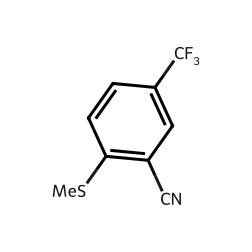 CSc1ccc(C(F)(F)F)cc1C#N